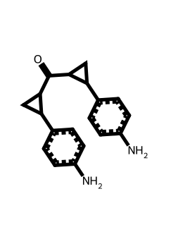 Nc1ccc(C2CC2C(=O)C2CC2c2ccc(N)cc2)cc1